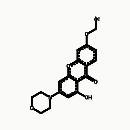 CC(=O)COc1ccc2c(=O)c3c(O)cc(N4CCOCC4)cc3oc2c1